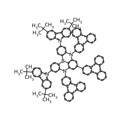 CC(C)(C)c1ccc2c(c1)c1cc(C(C)(C)C)ccc1n2-c1ccc2c(c1)N(c1ccc3c4ccccc4c4ccccc4c3c1)c1cc(-c3ccc4c5ccccc5c5ccccc5c4c3)cc3c1B2c1ccc(-n2c4ccc(C(C)(C)C)cc4c4cc(C(C)(C)C)ccc42)cc1N3c1ccc2c3ccccc3c3ccccc3c2c1